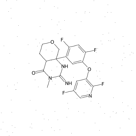 CN1C(=N)NC2(c3cc(Oc4cc(F)cnc4F)c(F)cc3F)COCCC2C1=O